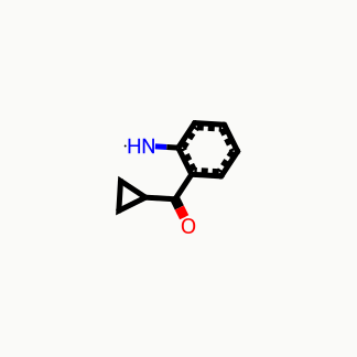 [NH]c1ccccc1C(=O)C1CC1